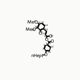 CCCCCCCOc1ccc(C(=O)OC(=O)C=Cc2ccc(OC)c(OC)c2Cl)cc1